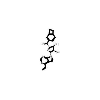 C=Cc1ncnc2c1ccn2[C@@H]1O[C@H](C(O)c2ccc3c(c2)CC3)[C@@H](O)[C@H]1O